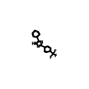 FC(F)(F)c1ccc(-c2n[nH]c(-c3ccccc3)n2)cc1